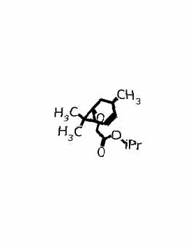 CC1C#CC2C(C)(C)C2(OCC(=O)OC(C)C)C1